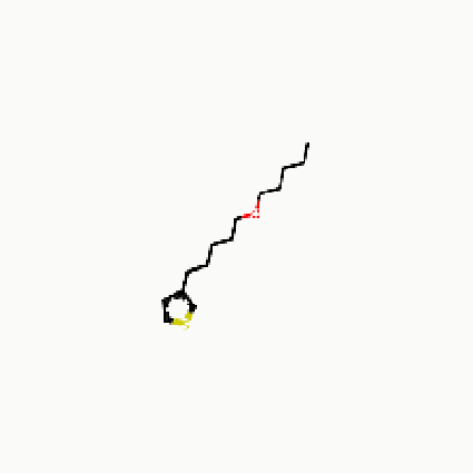 CCCCCOCCCCCc1ccsc1